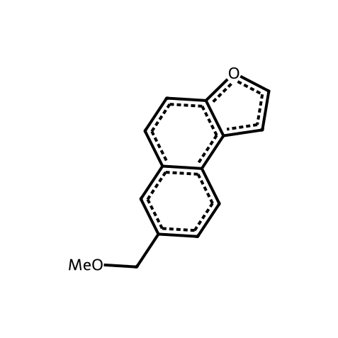 COCc1ccc2c(ccc3occc32)c1